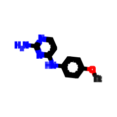 CCOc1ccc(Nc2ccnc(N)n2)cc1